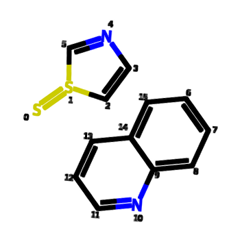 S=S1C=CN=C1.c1ccc2ncccc2c1